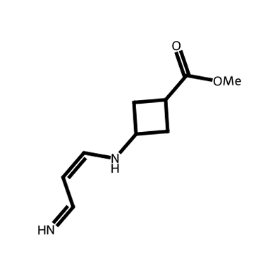 COC(=O)C1CC(N/C=C\C=N)C1